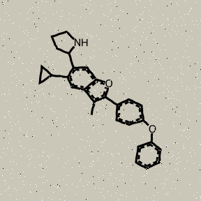 Cc1c(-c2ccc(Oc3ccccc3)cc2)oc2cc(C3CCCN3)c(C3CC3)cc12